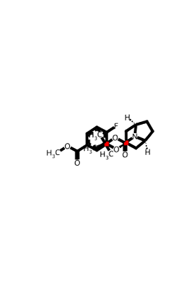 COC(=O)c1ccc(F)c(O[C@H]2C[C@H]3CC[C@@H](C2)N3C(=O)OC(C)(C)C)c1